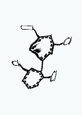 Clc1[c]c(Cl)cc(-c2c(Cl)cccc2Cl)c1